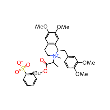 COc1ccc(C[C@@H]2c3cc(OC)c(OC)cc3CC[N+]2(C)C(C)C(=O)OC(C)(C)C)cc1OC.O=S(=O)([O-])c1ccccc1